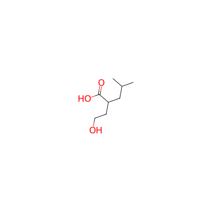 CC(C)CC(CCO)C(=O)O